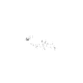 Cc1cc(Br)cc2c1O[C@H](C(F)(F)F)C(C(=O)OCOC(=O)OCC(C)(C)CO[N+](=O)O)=C2